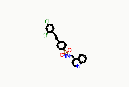 O=S(=O)(NCc1ccnc2ccccc12)c1ccc(C#Cc2ccc(Cl)cc2Cl)cc1